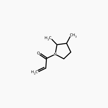 C=CC(=O)N1CCC(C)C1C